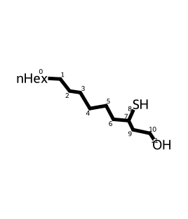 CCCCCCCCCCCCC(S)CCO